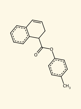 Cc1ccc(OC(=O)C2CC=Cc3ccccc32)cc1